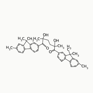 Cc1ccc2c(c1)C(C)(C)c1cc(C(=O)C(C)(O)CCC(C)(O)C(=O)c3ccc4c(c3)C(C)(C)c3cc(C)ccc3-4)ccc1-2